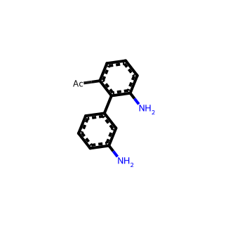 CC(=O)c1cccc(N)c1-c1cccc(N)c1